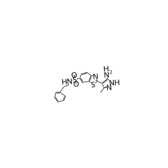 Cc1n[nH]c(N)c1-c1nc2ccc(S(=O)(=O)NCCc3ccccc3)cc2s1